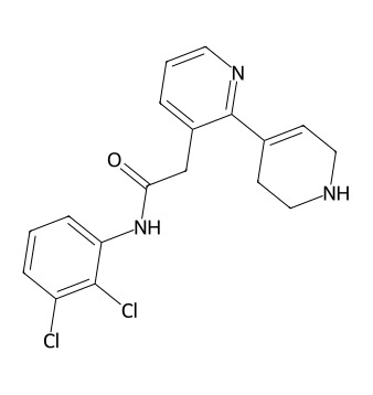 O=C(Cc1cccnc1C1=CCNCC1)Nc1cccc(Cl)c1Cl